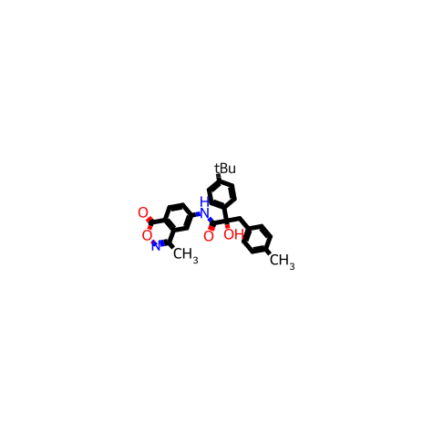 Cc1ccc(CC(O)(C(=O)Nc2ccc3c(=O)onc(C)c3c2)c2ccc(C(C)(C)C)cc2)cc1